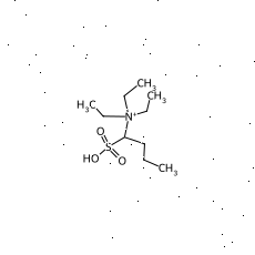 CCCC([N+](CC)(CC)CC)S(=O)(=O)O